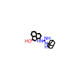 N=C(Nc1ccc2cccc3c2c1C=C3O)NC12CC3CC(CC(C3)C1)C2